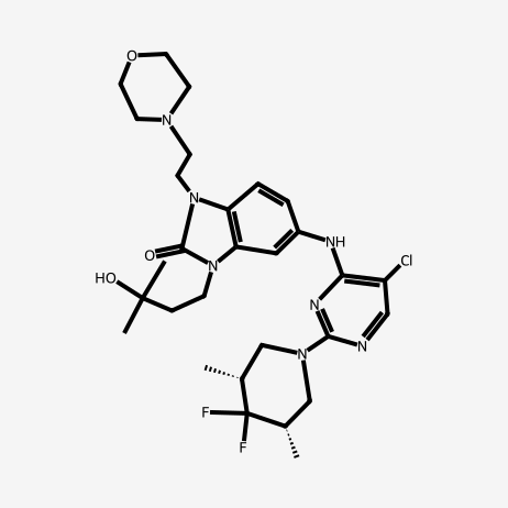 C[C@@H]1CN(c2ncc(Cl)c(Nc3ccc4c(c3)n(CCC(C)(C)O)c(=O)n4CCN3CCOCC3)n2)C[C@H](C)C1(F)F